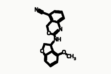 COc1cccc2c1C(NC1=Nc3cccc(C#N)c3CO1)CO2